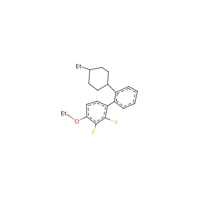 CCOc1ccc(-c2ccccc2C2CCC(CC)CC2)c(F)c1F